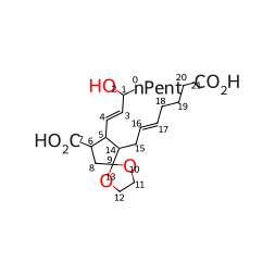 CCCCCC(O)C=CC1C(C(=O)O)CC2(OCCO2)C1CC=CCCCC(=O)O